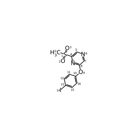 CS(=O)(=O)c1cncc(Oc2ccc(I)cc2)n1